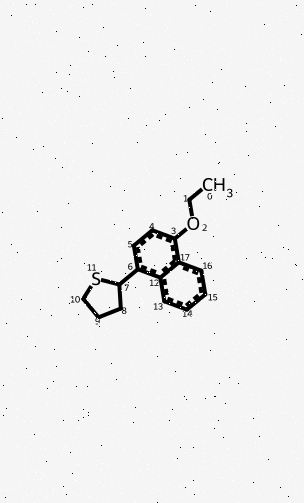 CCOc1ccc(C2CCCS2)c2ccccc12